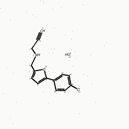 C#CCNCc1ccc(-c2ccc(Cl)cc2)o1.Cl